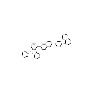 c1ccc(-n2c3ccccc3c3c(-c4ccc5cc(-c6ccc7c(c6)-c6cccc8cccc-7c68)ccc5c4)cccc32)cc1